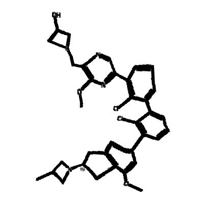 COc1cc(-c2cccc(-c3cccc(-c4cnc(CN5CC(O)C5)c(OC)n4)c3Cl)c2Cl)cc2c1C[C@@H](N1CC(C)C1)C2